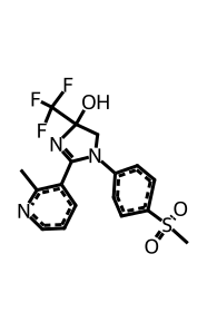 Cc1ncccc1C1=NC(O)(C(F)(F)F)CN1c1ccc(S(C)(=O)=O)cc1